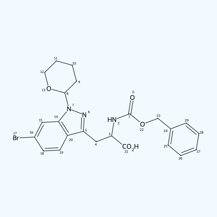 O=C(NC(Cc1nn(C2CCCCO2)c2cc(Br)ccc12)C(=O)O)OCc1ccccc1